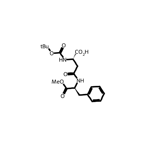 COC(=O)[C@H](Cc1ccccc1)NC(=O)C[C@H](NC(=O)OC(C)(C)C)C(=O)O